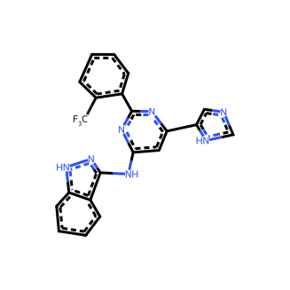 FC(F)(F)c1ccccc1-c1nc(Nc2n[nH]c3ccccc23)cc(-c2cnc[nH]2)n1